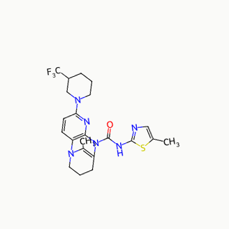 CC1=C2CCCN1c1ccc(N3CCCC(C(F)(F)F)C3)nc1N2C(=O)Nc1ncc(C)s1